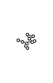 c1ccc(-c2ccc(-c3nc(-n4c5ccc6ccccc6c5c5c6c7ccccc7n7c8ccccc8c(cc54)c67)nc4c3ccc3ccccc34)cc2)cc1